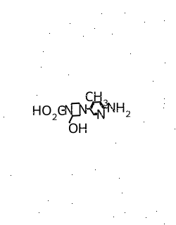 Cc1cc(N)ncc1N1CCN(C(=O)O)C(CO)C1